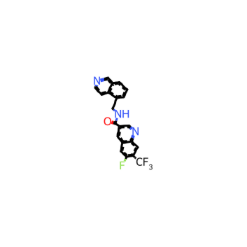 O=C(NCc1cccc2cnccc12)c1cnc2cc(C(F)(F)F)c(F)cc2c1